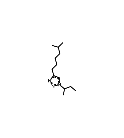 CCC(C)n1cc(CCCCC(C)C)nn1